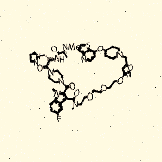 CN[C@@H](C)C(=O)N[C@@H](Cn1cccn1)C(=O)N1CCN(C(=O)c2c(C(=O)N(C)CCOCCOCCOc3cc(CN4CCC(Oc5ccnc6ccsc56)CC4)on3)c3cc(F)ccc3n2C)CC1